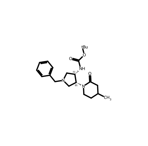 CC1CCN([C@@H]2CN(Cc3ccccc3)C[C@@H]2NC(=O)OC(C)(C)C)C(=O)C1